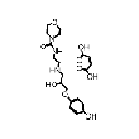 O=C(NCCNCC(O)COc1ccc(O)cc1)N1CCOCC1.O=C(O)/C=C\C(=O)O